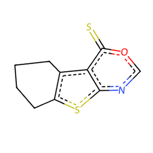 S=c1ocnc2sc3c(c12)CCCC3